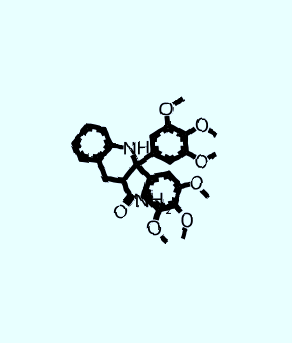 COc1cc(C2(c3cc(OC)c(OC)c(OC)c3)Nc3ccccc3CC2C(N)=O)cc(OC)c1OC